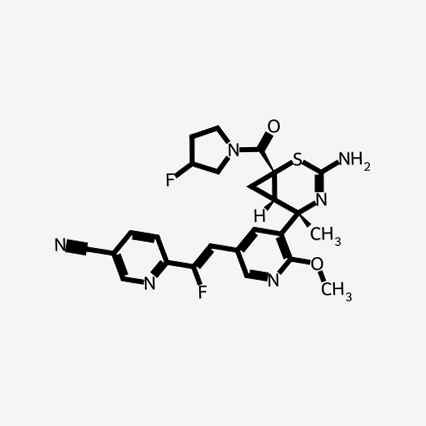 COc1ncc(/C=C(\F)c2ccc(C#N)cn2)cc1[C@@]1(C)N=C(N)S[C@@]2(C(=O)N3CCC(F)C3)C[C@H]21